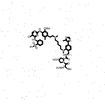 COc1cc(CCN(C)CCCCCN(C)c2cc(-c3scnc3C)ccc2[C@H](C)NC(=O)[C@@H]2C[C@@H](O)CN2C(=O)[C@@H](NC(C)=O)C(C)(C)C)c(C)cc1Nc1ncc(Cl)c(Nc2ccccc2S(=O)(=O)C(C)C)n1